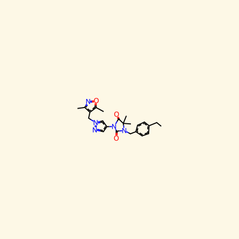 CCc1ccc(CN2C(=O)N(c3cnn(Cc4c(C)noc4C)c3)C(=O)C2(C)C)cc1